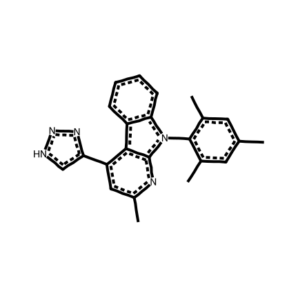 Cc1cc(C)c(-n2c3ccccc3c3c(-c4c[nH]nn4)cc(C)nc32)c(C)c1